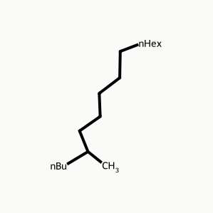 [CH2]CCCC(C)CCCCCCCCCCC